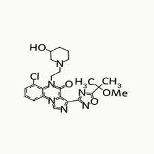 COC(C)(C)c1nc(-c2ncn3c2c(=O)n(CCN2CCCC(O)C2)c2c(Cl)cccc23)no1